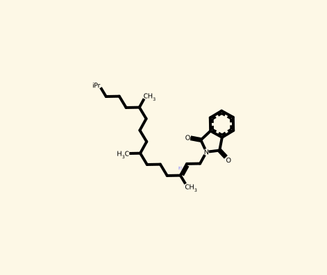 C/C(=C\CN1C(=O)c2ccccc2C1=O)CCCC(C)CCCC(C)CCCC(C)C